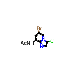 CC(=O)Nc1cc(Br)cn2c(Cl)cnc12